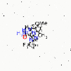 COc1ccc(C)c(-n2c(N)c(C(N)=O)c3nc(C4(C(F)(F)F)CC4)cnc32)c1C